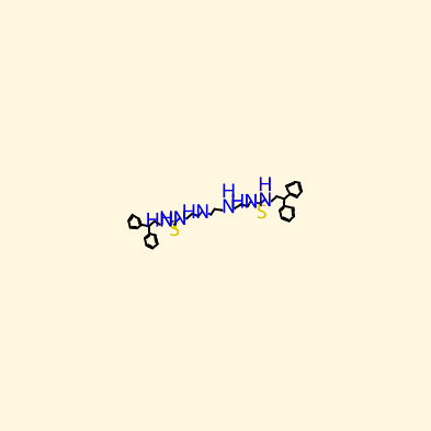 S=C(NCCCNCCCNCCCNC(=S)NCCC(c1ccccc1)c1ccccc1)NCCC(c1ccccc1)c1ccccc1